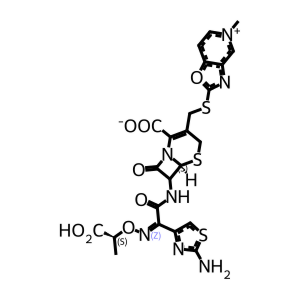 C[C@H](O/N=C(\C(=O)NC1C(=O)N2C(C(=O)[O-])=C(CSc3nc4c[n+](C)ccc4o3)CS[C@@H]12)c1csc(N)n1)C(=O)O